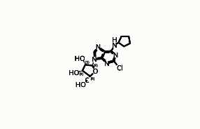 OC[C@H]1O[C@@H](n2cnc3c(NC4CCCC4)nc(Cl)nc32)[C@@H](O)[C@H]1O